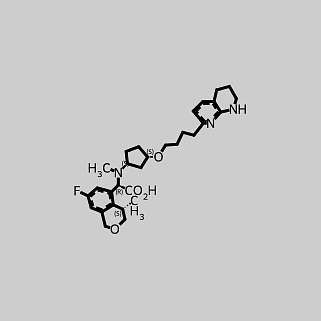 C[C@@H]1COCc2cc(F)cc([C@H](C(=O)O)N(C)[C@H]3CC[C@H](OCCCCc4ccc5c(n4)NCCC5)C3)c21